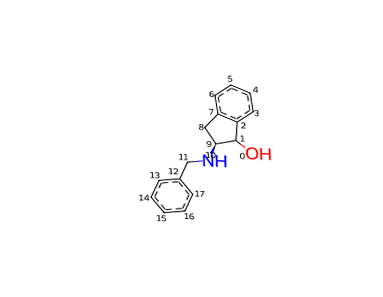 OC1c2ccccc2C[C@@H]1NCc1ccccc1